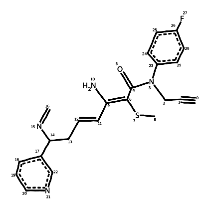 C#CCN(C(=O)/C(SC)=C(N)/C=C/CC(N=C)c1cccnc1)c1ccc(F)cc1